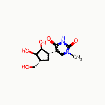 Cn1cc([C@@H]2C[C@H](CO)C(O)C2O)c(=O)[nH]c1=O